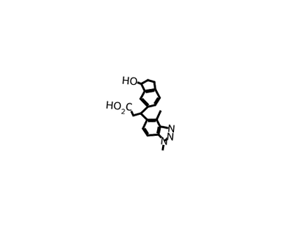 Cc1c(C(CC(=O)O)c2ccc3c(c2)C(O)CC3)ccc2c1nnn2C